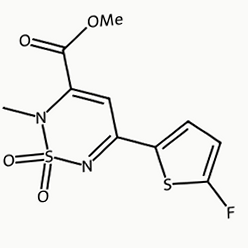 COC(=O)C1=CC(c2ccc(F)s2)=NS(=O)(=O)N1C